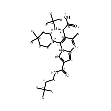 Cc1nc2cc(C(=O)NCCC(C)(C)C)nn2c(N2CCC(C)(C)CC2)c1[C@H](OC(C)(C)C)C(=O)O